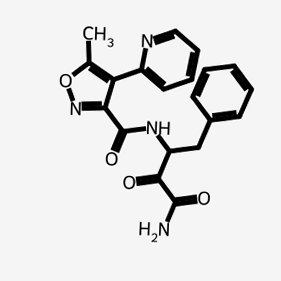 Cc1onc(C(=O)NC(Cc2ccccc2)C(=O)C(N)=O)c1-c1ccccn1